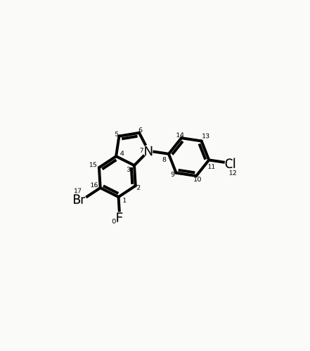 Fc1cc2c(ccn2-c2ccc(Cl)cc2)cc1Br